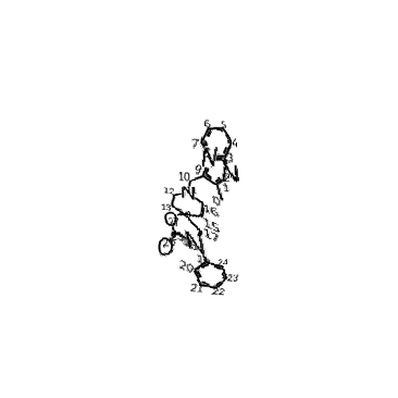 Cc1nc2ccccn2c1CN1CCC2(CC1)CN(c1ccccc1)C(=O)O2